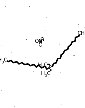 CCCCCCCCCCCCCCCC[P+](CC)(CC)CCCCCCCCCCCCCCCC.O=[N+]([O-])[O-]